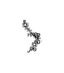 C=CCOC(=O)c1ccc(C[S+]([O-])C2CC(=O)N2CC(=O)NCCCCCCc2ccc(F)cc2)cc1